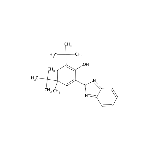 CC(C)(C)C1=C(O)C(n2nc3ccccc3n2)=CC(C)(C(C)(C)C)C1